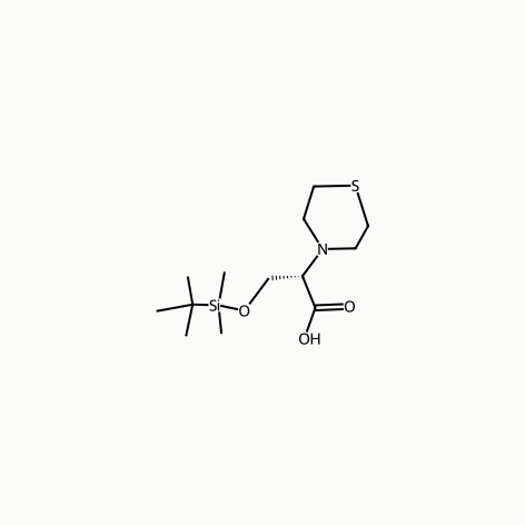 CC(C)(C)[Si](C)(C)OC[C@@H](C(=O)O)N1CCSCC1